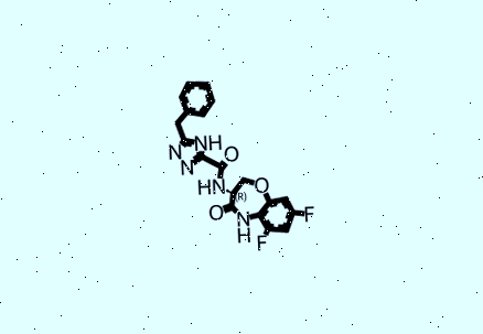 O=C(N[C@@H]1COc2cc(F)cc(F)c2NC1=O)c1nnc(Cc2ccccc2)[nH]1